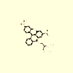 CCN(CC)c1ccc2c(-c3ccccc3C(=O)OCC(COC)OC)c3ccc(=[N+](CC)CC)cc-3oc2c1